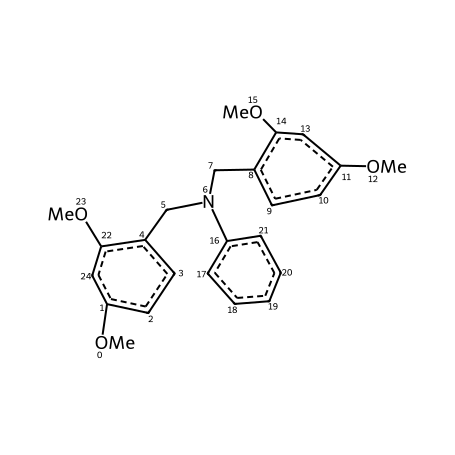 COc1ccc(CN(Cc2ccc(OC)cc2OC)c2ccccc2)c(OC)c1